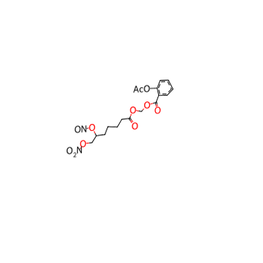 CC(=O)Oc1ccccc1C(=O)OCOC(=O)CCCCC(CO[N+](=O)[O-])ON=O